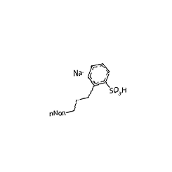 CCCCCCCCCCCCc1ccccc1S(=O)(=O)O.[Na]